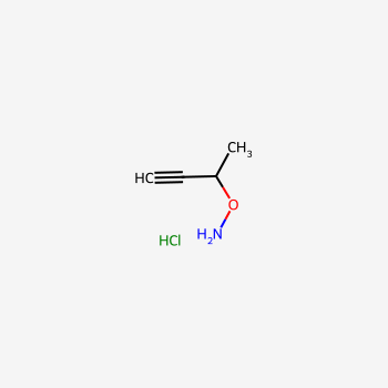 C#CC(C)ON.Cl